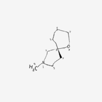 CN1CC[C@]2(C[CH]CO2)C1